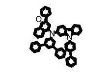 c1ccc(-c2ccc(-n3c4ccccc4c4ccc(N(c5cc(-c6ccccc6)cc(-c6ccccc6)c5)c5cc6c7ccccc7oc6c6ccccc56)cc43)cc2)cc1